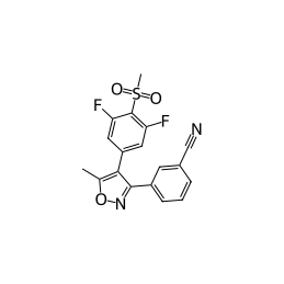 Cc1onc(-c2cccc(C#N)c2)c1-c1cc(F)c(S(C)(=O)=O)c(F)c1